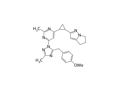 COc1ccc(Cc2nc(C)nn2-c2cc(C3CC3c3cc4n(n3)CCC4)nc(C)n2)cc1